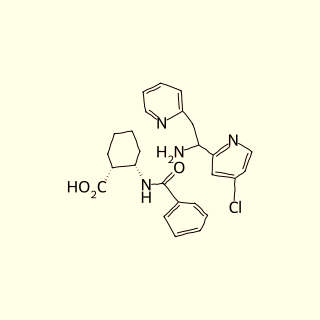 NC(Cc1ccccn1)c1cc(Cl)ccn1.O=C(N[C@H]1CCCC[C@H]1C(=O)O)c1ccccc1